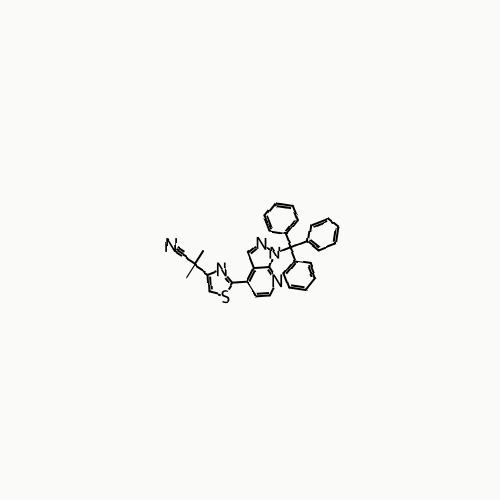 CC(C)(C#N)c1csc(-c2ccnc3c2cnn3C(c2ccccc2)(c2ccccc2)c2ccccc2)n1